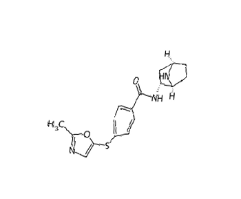 Cc1ncc(Sc2ccc(C(=O)N[C@@H]3C[C@H]4CC[C@@H]3N4)cc2)o1